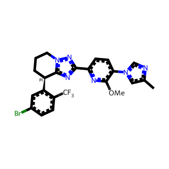 COc1nc(-c2nc3n(n2)CCC[C@@H]3c2cc(Br)ccc2C(F)(F)F)ccc1-n1cnc(C)c1